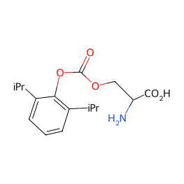 CC(C)c1cccc(C(C)C)c1OC(=O)OCC(N)C(=O)O